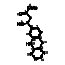 COC(=O)CC(O)c1ccc2c(c1)Nc1nccnc1S2